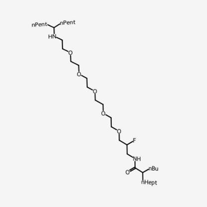 CCCCCCCC(CCCC)C(=O)NCC(F)COCCOCCOCCOCCOCCNC(CCCCC)CCCCC